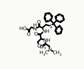 CCC(NC(=O)CN(C)C)C(=O)NC(CSC(c1ccccc1)(c1ccccc1)c1ccccc1)C(=O)NCC(=O)O